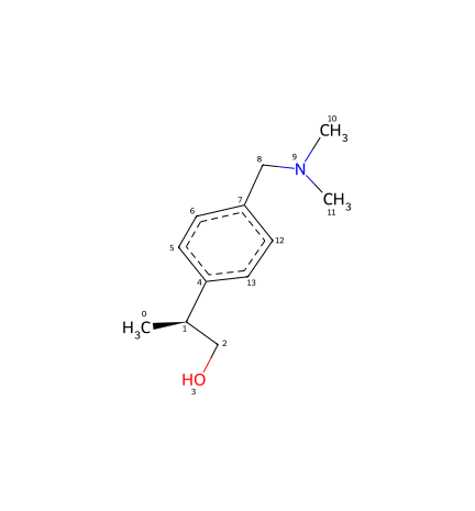 C[C@H](CO)c1ccc(CN(C)C)cc1